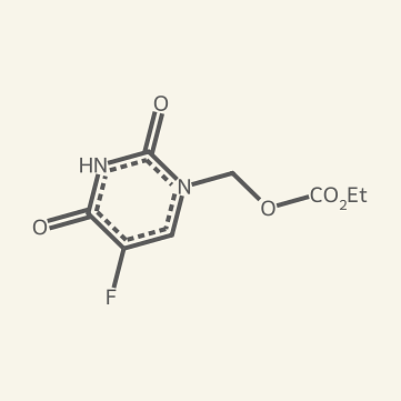 CCOC(=O)OCn1cc(F)c(=O)[nH]c1=O